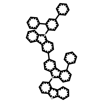 c1ccc(-c2ccc(-n3c4ccccc4c4cc(-c5ccc6c(c5)c5c(-c7ccccc7)cccc5n6-c5cccc6oc7ccccc7c56)ccc43)c(-c3ccccc3)c2)cc1